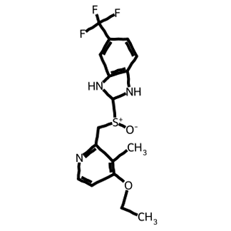 CCOc1ccnc(C[S+]([O-])C2Nc3ccc(C(F)(F)F)cc3N2)c1C